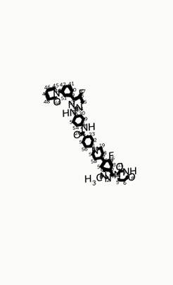 Cn1nc(N2CCC(=O)NC2=O)c2cc(F)c(C3CCN([C@H]4CC[C@H](C(=O)N[C@H]5CC[C@H](Nc6ncc(F)c(-c7cccc(-n8ccccc8=O)c7)n6)CC5)CC4)CC3)cc21